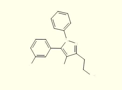 CCCc1nn(-c2ccccc2)c(-c2cccc(C)c2)c1O